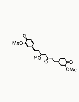 COC1=CC(=CCC(=O)C=C(O)CC=C2C=CC(=O)C(OC)=C2)C=CC1=O